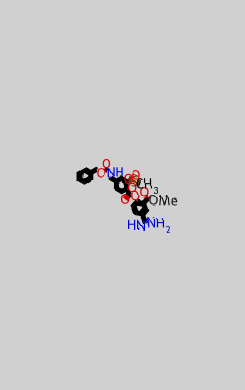 COC(=O)c1cc(C(=N)N)ccc1OC(=O)C1(OS(C)(=O)=O)CCC(CNC(=O)OCc2ccccc2)CC1